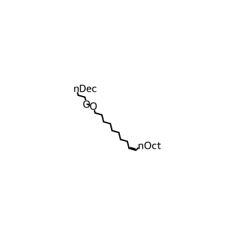 CCCCCCCC/C=C\CCCCCCCCOOCCCCCCCCCCCC